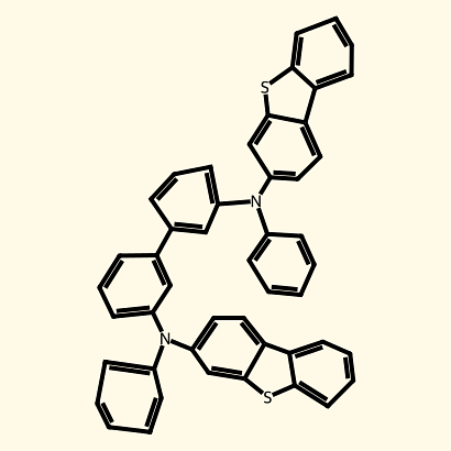 c1ccc(N(c2cccc(-c3cccc(N(c4ccccc4)c4ccc5c(c4)sc4ccccc45)c3)c2)c2ccc3c(c2)sc2ccccc23)cc1